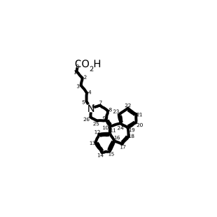 O=C(O)CCCCCN1CCC(=C2c3ccccc3C=Cc3ccccc32)CC1